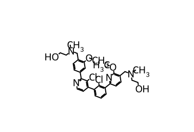 COc1cc(-c2nccc(-c3cccc(-c4ccc(CN(C)CCO)c(OC)n4)c3Cl)c2Cl)ccc1CN(C)CCO